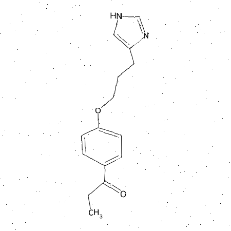 CCC(=O)c1ccc(OCCCc2c[nH]cn2)cc1